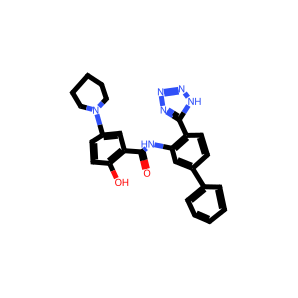 O=C(Nc1cc(-c2ccccc2)ccc1-c1nnn[nH]1)c1cc(N2CCCCC2)ccc1O